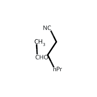 CC=O.CCCCCC#N